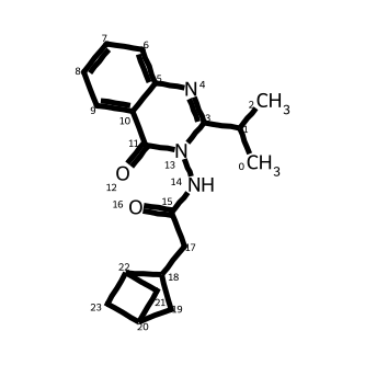 CC(C)c1nc2ccccc2c(=O)n1NC(=O)CC1CC2CC1C2